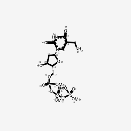 COP(=O)(OC)OP(=O)(OC)OP(=O)(OC)OC[C@H]1O[C@@H](n2cc(CN)c(=O)[nH]c2=O)CC1O